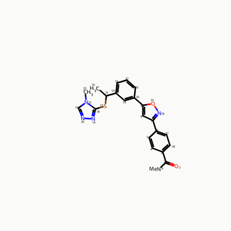 CNC(=O)c1ccc(-c2cc(-c3cccc(C(C)Sc4nncn4C)c3)on2)cc1